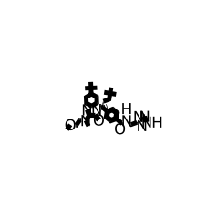 COCCN(C)C1=NC2(CCC(C(C)(C)C)CC2)N([C@H](CCC(C)(C)C)c2ccc(C(=O)NCc3nn[nH]n3)cc2)C1=O